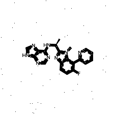 C[C@H](Nc1ncnc2[nH]cnc12)c1nc2ccc(F)c(-c3ccccn3)c2n1C